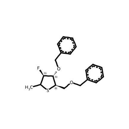 CC1S[C@H](COCc2ccccc2)[C@@H](OCc2ccccc2)[C@@H]1F